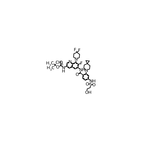 CC(C)(C)OC(=O)Nc1cnc2c(N3CCC(F)(F)CC3)c(F)c(NC(=O)c3ccc(NS(=O)(=O)CCO)cc3N3CCC4(CC3)CC4)cc2c1